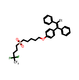 CC/C(=C(\c1ccccc1)c1ccc(OCCCCCS(=O)(=O)CCCC(F)(F)C(F)(F)F)cc1)c1ccccc1